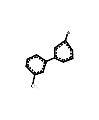 Cc1cccc(-c2cccc(Br)c2)c1